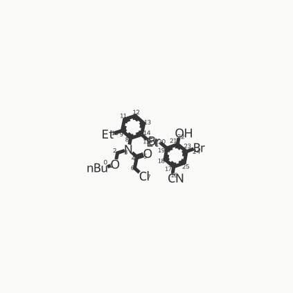 CCCCOCN(C(=O)CCl)c1c(CC)cccc1CC.N#Cc1cc(Br)c(O)c(Br)c1